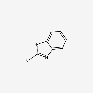 ClC1=Nc2ccccc2[N]1